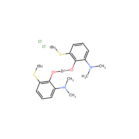 CN(C)c1cccc(SC(C)(C)C)c1[O][Zr+2][O]c1c(SC(C)(C)C)cccc1N(C)C.[Cl-].[Cl-]